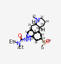 CCN(CC)C(=O)Nn1cc2c3c(cc([S+](C)[O-])cc31)[C@H]1CCCN(C)[C@@H]1C2